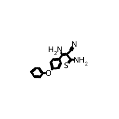 N#CC(C(N)=S)=C(N)c1ccc(Oc2ccccc2)cc1